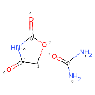 NC(N)=O.O=C1COC(=O)N1